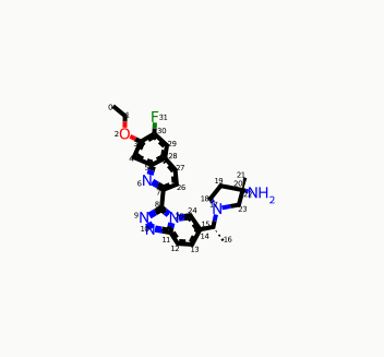 CCOc1cc2nc(-c3nnc4ccc([C@@H](C)N5CC[C@](C)(N)C5)cn34)ccc2cc1F